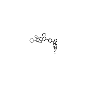 O=C(c1ccc(-c2cc(Cl)c(CN3CC[C@@H](C4CCCCC4)C3=O)c(Cl)c2)cc1)N1CCN(CCF)CC1